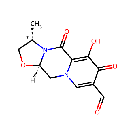 C[C@H]1CO[C@@H]2Cn3cc(C=O)c(=O)c(O)c3C(=O)N12